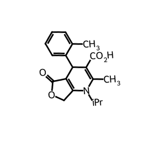 CC1=C(C(=O)O)C(c2ccccc2C)C2=C(COC2=O)N1C(C)C